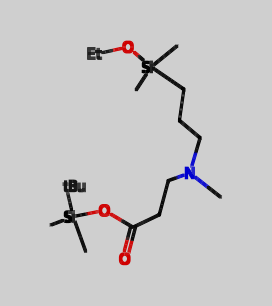 CCO[Si](C)(C)CCCN(C)CCC(=O)O[Si](C)(C)C(C)(C)C